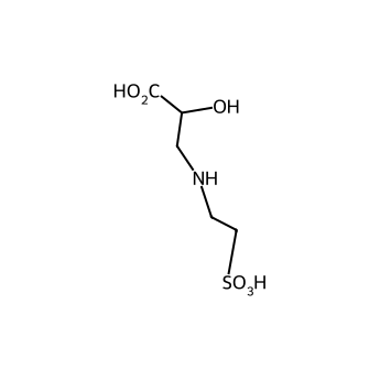 O=C(O)C(O)CNCCS(=O)(=O)O